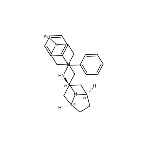 CC(=O)N1CCN(CCN2[C@@H]3CC[C@H]2C[C@@H](NC(c2ccccc2)c2ccccc2)C3)CC1